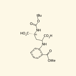 COC(=O)c1ccccc1NC(C[C@@H](NC(=O)OC(C)(C)C)C(=O)O)C(=O)O